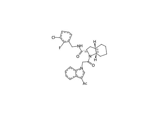 CC(=O)c1cn(CC(=O)N2[C@H](C(=O)NCc3cccc(Cl)c3F)C[C@@H]3CCCC[C@@H]32)c2ccccc12